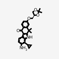 CC1(C)OC[C@H](COc2ccc3c(c2)C(C)(C)c2[nH]c4c(C5CC5)c(N)ccc4c2C3=O)O1